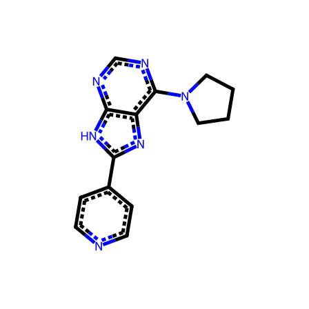 c1cc(-c2nc3c(N4CCCC4)ncnc3[nH]2)ccn1